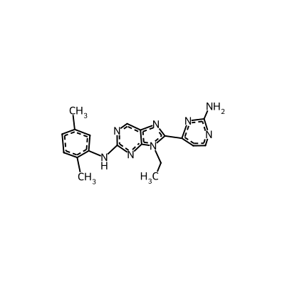 CCn1c(-c2ccnc(N)n2)nc2cnc(Nc3cc(C)ccc3C)nc21